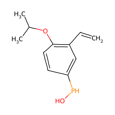 C=Cc1cc(PO)ccc1OC(C)C